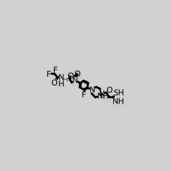 N=C(S)CC(=O)N1CCN(c2ccc(N3C[C@H](CNC(=O)C(F)F)OC3=O)cc2F)CCN1